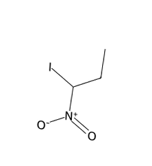 CCC(I)[N+](=O)[O-]